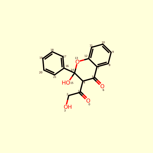 O=C(CO)C1C(=O)c2ccccc2OC1(O)c1ccccc1